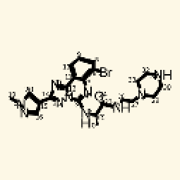 C[C@@H](Nc1nc2c(Br)cccc2c2nc(-c3cnn(C)c3)nn12)C(=O)NCCN1CCNCC1